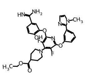 CCOC(=O)C1CCN(c2c(F)c(Oc3cccc(-c4nccn4C)c3)nc(Oc3cc(C(=N)N)ccc3O)c2F)CC1